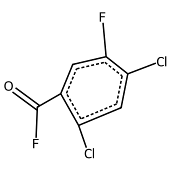 O=C(F)c1cc(F)c(Cl)cc1Cl